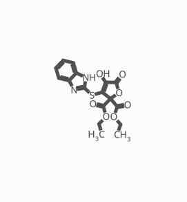 CCOC(=O)C1(C(=O)OCC)OC(=O)C(O)=C1Sc1nc2ccccc2[nH]1